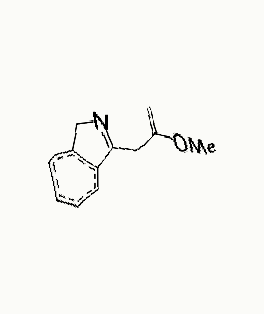 C=C(CC1=NCc2ccccc21)OC